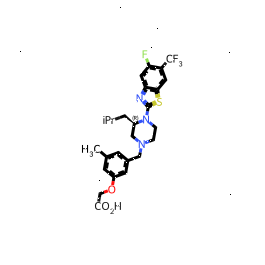 Cc1cc(CN2CCN(c3nc4cc(F)c(C(F)(F)F)cc4s3)[C@H](CC(C)C)C2)cc(OCC(=O)O)c1